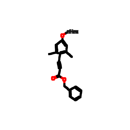 CCCCCCOc1cc(C)c(C#CC(=O)OCc2ccccc2)c(C)c1